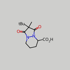 CC(C)(C)C1(C)C(=O)N2CCCC(C(=O)O)N2C1=O